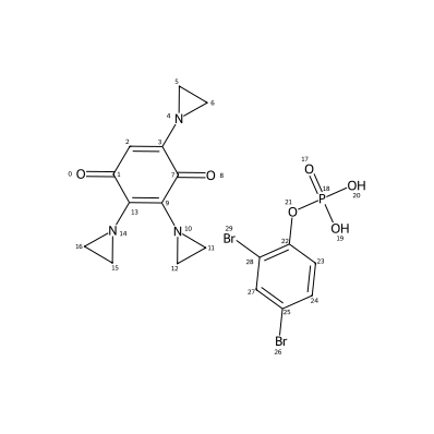 O=C1C=C(N2CC2)C(=O)C(N2CC2)=C1N1CC1.O=P(O)(O)Oc1ccc(Br)cc1Br